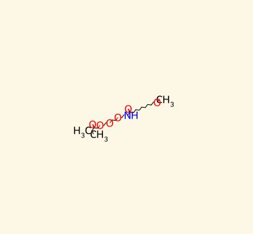 COCCCCCCCCC(=O)NCCOCCOCCOCC(=O)C(C)C